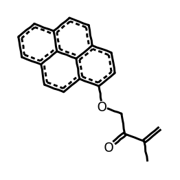 C=C(C)C(=O)COc1ccc2ccc3cccc4ccc1c2c34